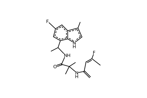 C=C(/C=C(\C)F)NC(C)(C)C(=O)NC(C)c1cc(F)cc2c(C)c[nH]c12